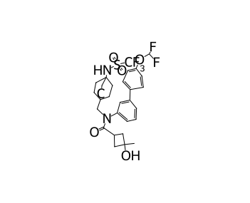 CC1(O)CC(C(=O)N(CC23CCC(NS(=O)(=O)C(F)(F)F)(CC2)CC3)c2cccc(-c3ccc(OC(F)F)cc3)c2)C1